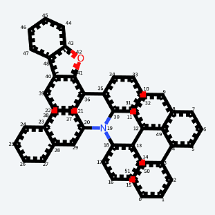 c1ccc(-c2cccc3cccc(-c4ccccc4N(c4ccc5ccccc5c4)c4ccccc4-c4cccc5c4oc4ccccc45)c23)cc1